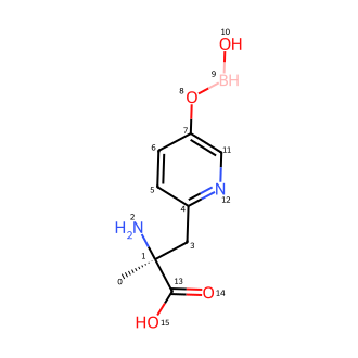 C[C@](N)(Cc1ccc(OBO)cn1)C(=O)O